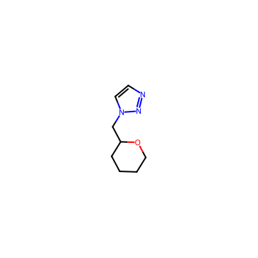 c1cn(CC2CCCCO2)nn1